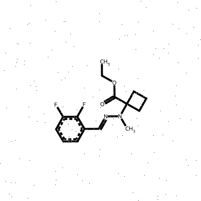 CCOC(=O)C1(N(C)/N=C/c2cccc(F)c2F)CCC1